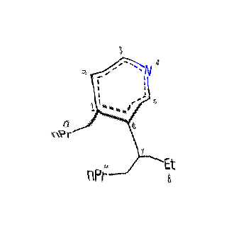 CCCc1ccncc1C(CC)CCC